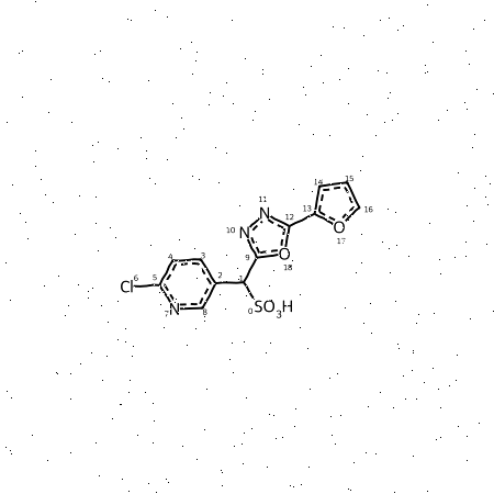 O=S(=O)(O)C(c1ccc(Cl)nc1)c1nnc(-c2ccco2)o1